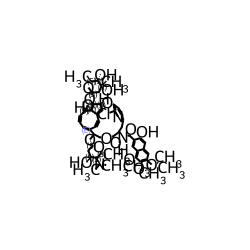 COc1c(OC(C)C)cc2cc(O)c(C(=O)NC3Cc4ccc(c(Cl)n4)O[C@H]4C=C5C#C/C(=C\C#C[C@@H]6O[C@]56[C@@H]4O[C@H]4C[C@@](C)(O)[C@@H](O)[C@H](C)O4)C(O[C@H]4C[C@H](O)[C@H](N(C)C)[C@H](C)O4)COC3=O)cc2c1OC